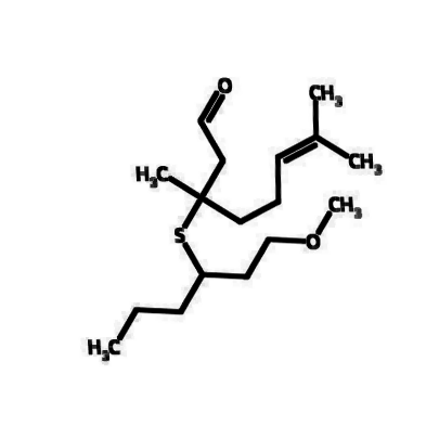 CCCC(CCOC)SC(C)(CC=O)CCC=C(C)C